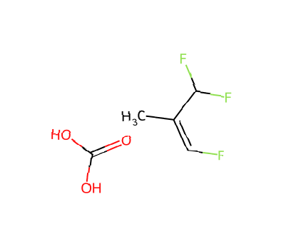 CC(=CF)C(F)F.O=C(O)O